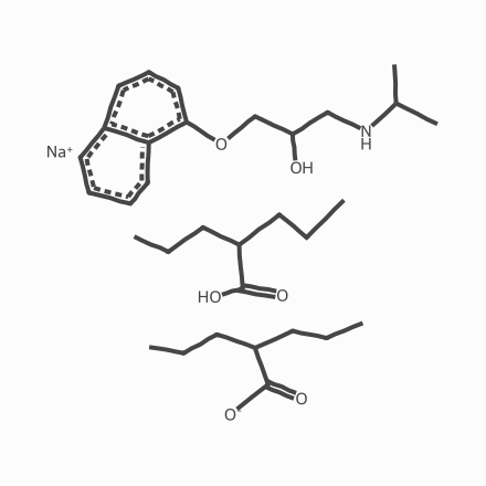 CC(C)NCC(O)COc1cccc2ccccc12.CCCC(CCC)C(=O)O.CCCC(CCC)C(=O)[O-].[Na+]